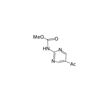 COC(=O)Nc1ncc(C(C)=O)cn1